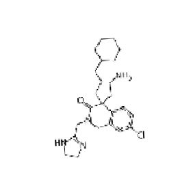 NCCC1(CCCC2CCCCC2)C(=O)N(CC2=NCCN2)Cc2cc(Cl)ccc21